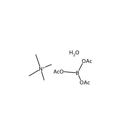 CC(=O)OB(OC(C)=O)OC(C)=O.C[N+](C)(C)C.O